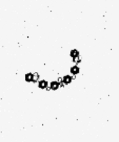 O=S(=O)(c1ccc(Oc2ccc(N3COc4ccccc4C3)cc2)cc1)c1ccc(Oc2ccc(N3COc4ccccc4C3)cc2)cc1